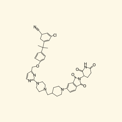 CC(C)(C1=CC(Cl)=CC(C#N)C1)c1ccc(OCc2ccnc(N3CCN(CC4CCN(c5ccc6c(c5)C(=O)N(C5CCC(=O)NC5=O)C6=O)CC4)CC3)n2)cc1